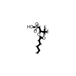 CCCCCC(=O)OC(CS(=O)(=O)O)C(F)(F)F